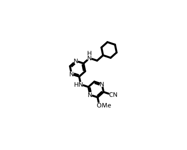 COc1nc(Nc2cc(NCC3CCCCC3)ncn2)cnc1C#N